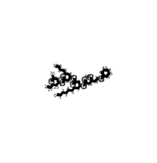 C=CCCCCCCC(CC(=O)OC(CCCCC=C)CC(=O)OC(CCC=C)CC(C)=O)OC(=O)CC(CCOc1ccccc1)OC